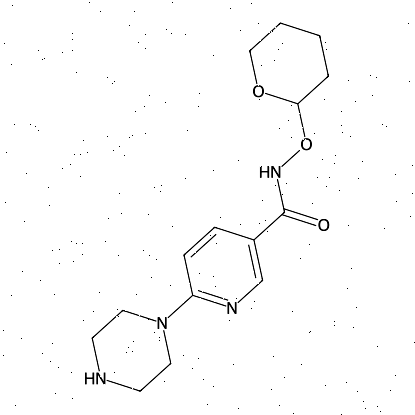 O=C(NOC1CCCCO1)c1ccc(N2CCNCC2)nc1